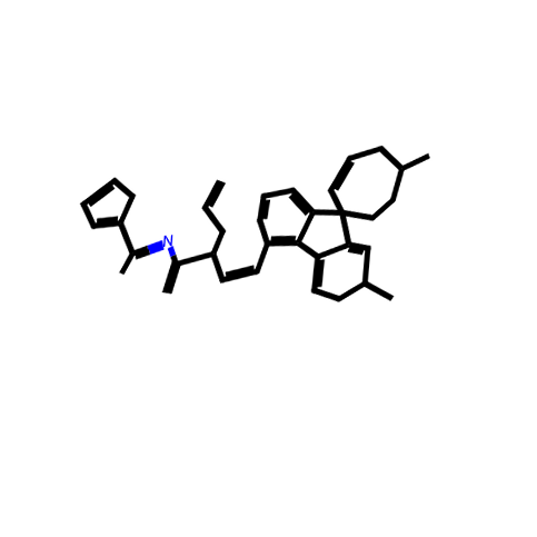 C=CCC(/C=C\c1cccc2c1C1=CCC(C)C=C1C21C=CCC(C)CC1)C(=C)/N=C(\C)C1=CC=CC1